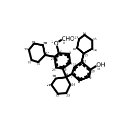 O=COc1ccc(C2(c3ccc(O)c(C4CCCCC4)c3)CCCCC2)cc1C1CCCCC1